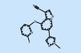 Cn1cc(-c2cc(Sc3cccc(F)n3)c3c(C#N)cnn3c2)cn1